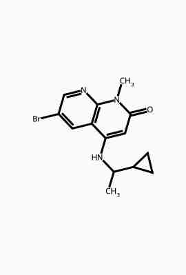 CC(Nc1cc(=O)n(C)c2ncc(Br)cc12)C1CC1